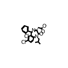 COC(=O)C[C@H]1N=C(c2ccccc2Cl)c2cc(Cl)ccc2N(CC(C)C)C1=O